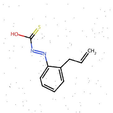 C=CCc1ccccc1N=NC(O)=S